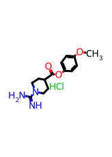 COc1ccc(OC(=O)C2CCN(C(=N)N)CC2)cc1.Cl